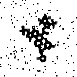 Cn1nc(NS(C)(=O)=O)c2c(Cl)ccc(-c3ccc(C#CC4CCCN4)nc3[C@H](Cc3cc(F)cc(F)c3)NC(=O)Cn3nc(C(F)(F)F)c4c3C(F)(F)C3C[C@H]43)c21